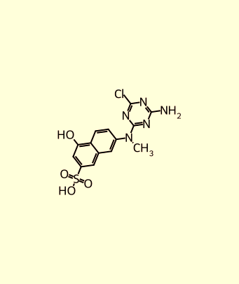 CN(c1ccc2c(O)cc(S(=O)(=O)O)cc2c1)c1nc(N)nc(Cl)n1